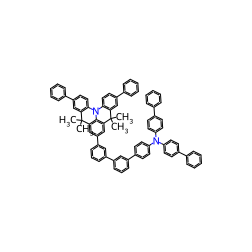 CC1(C)c2cc(-c3ccccc3)ccc2N2c3ccc(-c4ccccc4)cc3C(C)(C)c3cc(-c4cccc(-c5cccc(-c6ccc(N(c7ccc(-c8ccccc8)cc7)c7ccc(-c8ccccc8)cc7)cc6)c5)c4)cc1c32